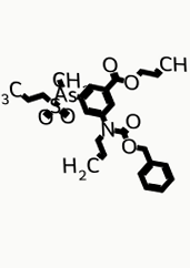 C=CCOC(=O)c1cc(N(CC=C)C(=O)OCc2ccccc2)cc([As](C)S(=O)(=O)CCC)c1